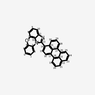 c1ccc2c(c1)Oc1cccc3nc(-c4ccc5c6cccc7cccc(c8cccc4c85)c76)n-2c13